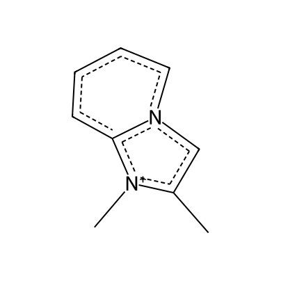 Cc1cn2ccccc2[n+]1C